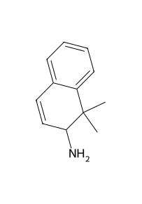 CC1(C)c2ccccc2C=CC1N